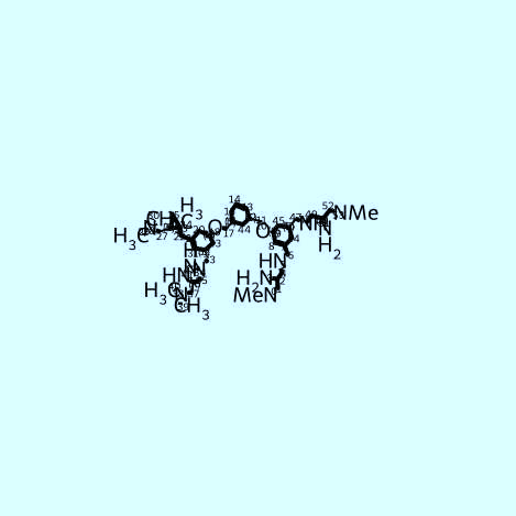 CNCC(N)CNCC1=C[C@@H](OC[C@@H]2C=CC[C@H](CO[C@H]3CC(CC4(C)C[C@@H]4CN(C)C)=C[C@@H](CN4C[C@@H](CN(C)C)NN4)C3)C2)C[C@@H](CNC[C@H](N)CNC)C1